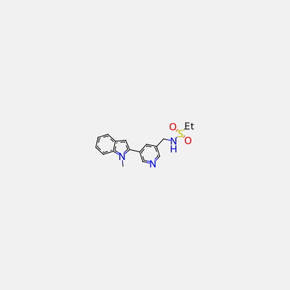 CCS(=O)(=O)NCc1cncc(-c2cc3ccccc3n2C)c1